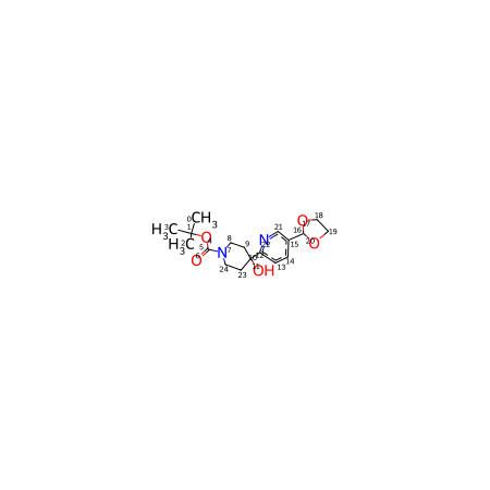 CC(C)(C)OC(=O)N1CCC(O)(c2ccc(C3OCCO3)cn2)CC1